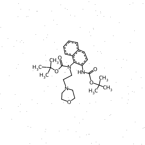 CC(C)(C)OC(=O)Nc1ccc2ccccc2c1N(CCN1CCOCC1)C(=O)OC(C)(C)C